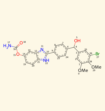 COc1cc(C(O)c2ccc(-c3nc4cc(OC(N)=O)ccc4[nH]3)cc2)cc(Br)c1OC